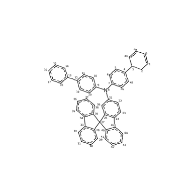 C1=CCC(c2ccc(N(c3ccc(-c4ccccc4)cc3)c3ccc4c(c3)C3(c5ccccc5-c5ccccc53)c3ccccc3-4)cc2)C=C1